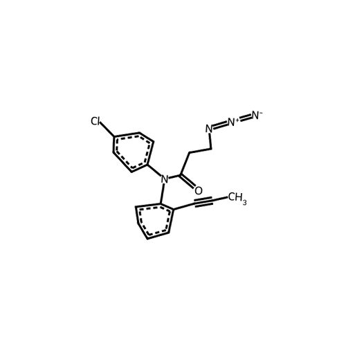 CC#Cc1ccccc1N(C(=O)CCN=[N+]=[N-])c1ccc(Cl)cc1